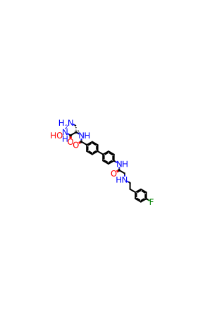 NC[C@H](NC(=O)c1ccc(-c2ccc(NC(=O)CNCCc3ccc(F)cc3)cc2)cc1)C(=O)NO